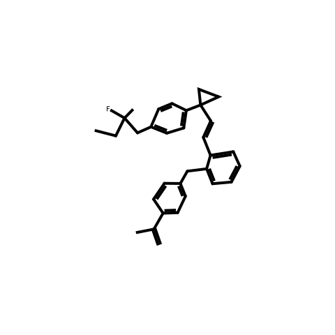 C=C(C)c1ccc(Cc2ccccc2/C=C/C2(c3ccc(CC(C)(F)CC)cc3)CC2)cc1